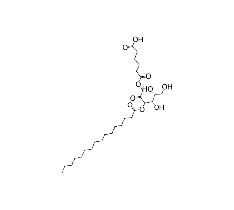 CCCCCCCCCCCCCCCC(=O)O[C@@H](C(=O)COC(=O)CCCCC(=O)O)[C@@H](O)[C@H](O)CO